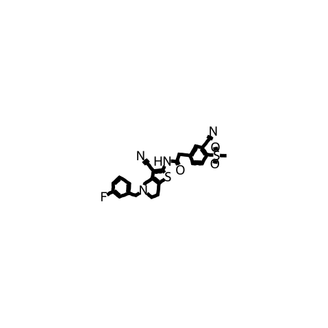 CS(=O)(=O)c1ccc(CC(=O)Nc2sc3c(c2C#N)CN(Cc2cccc(F)c2)CC3)cc1C#N